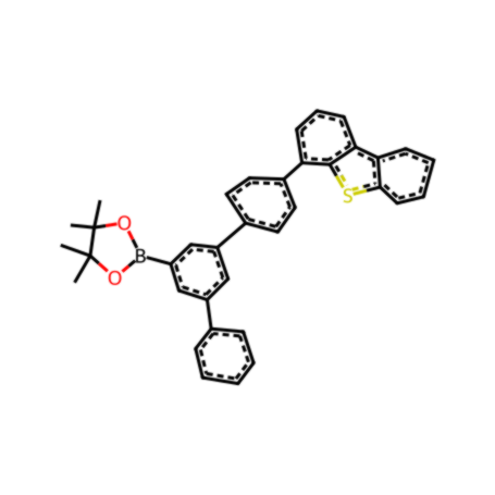 CC1(C)OB(c2cc(-c3ccccc3)cc(-c3ccc(-c4cccc5c4sc4ccccc45)cc3)c2)OC1(C)C